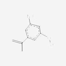 C=C(C)c1cc(N)cc(OCC)c1